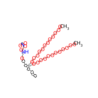 COCCOCCOCCOCCOCCOCCOCCOCCOCCOCCOCCOCCCC1(CCCOCCOCCOCCOCCOCCOCCOCCOCCOCCOCCOCCOC)c2cc(-c3ccc(OCCCCNC(=O)CCC(=O)N4C(=O)CCC4=O)cc3)ccc2-c2ccc(-c3ccc4c(c3)Cc3ccccc3-4)cc21